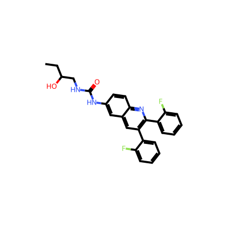 CCC(O)CNC(=O)Nc1ccc2nc(-c3ccccc3F)c(-c3ccccc3F)cc2c1